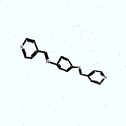 C(=Nc1ccc(N=Cc2ccncc2)cc1)c1ccncc1